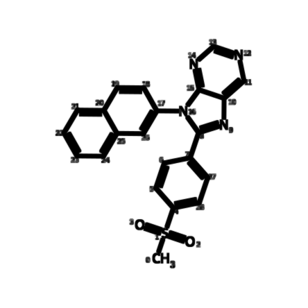 CS(=O)(=O)c1ccc(-c2nc3cncnc3n2-c2ccc3ccccc3c2)cc1